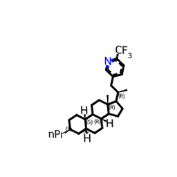 CCC[C@H]1CC[C@@H]2C3CC[C@@]4(C)C(CCC4[C@H](C)Cc4ccc(C(F)(F)F)nc4)[C@@H]3CC[C@@H]2C1